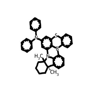 CC12CCCC[C@]1(C)c1cccc3c1N2c1cc(N(c2ccccc2)c2ccccc2)cc2c1B3c1ccccc1S2